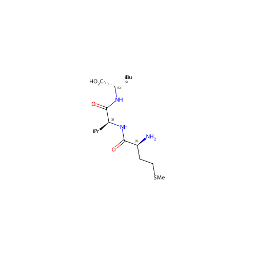 CC[C@H](C)[C@H](NC(=O)[C@@H](NC(=O)[C@@H](N)CCSC)C(C)C)C(=O)O